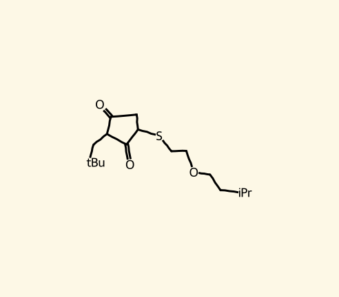 CC(C)CCOCCSC1CC(=O)C(CC(C)(C)C)C1=O